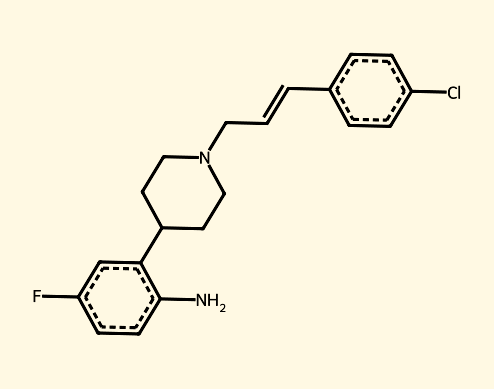 Nc1ccc(F)cc1C1CCN(CC=Cc2ccc(Cl)cc2)CC1